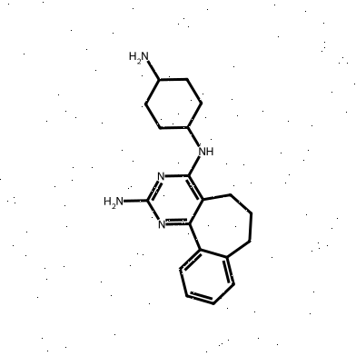 Nc1nc(NC2CCC(N)CC2)c2c(n1)-c1ccccc1CCC2